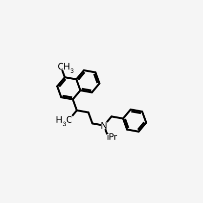 Cc1ccc(C(C)CCN(Cc2ccccc2)C(C)C)c2ccccc12